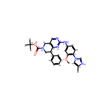 COc1cc(Nc2ncc3c(n2)C(c2ccccc2)CN(C(=O)OC(C)(C)C)C3)ccc1-n1cnc(C)c1